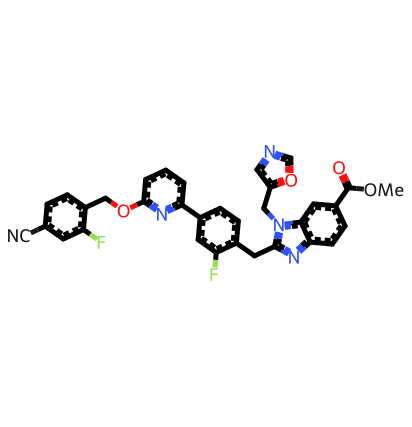 COC(=O)c1ccc2nc(Cc3ccc(-c4cccc(OCc5ccc(C#N)cc5F)n4)cc3F)n(Cc3cnco3)c2c1